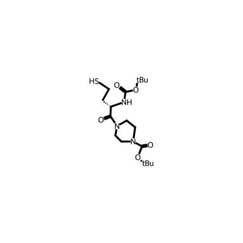 CC(C)(C)OC(=O)N[C@@H](CCS)C(=O)N1CCN(C(=O)OC(C)(C)C)CC1